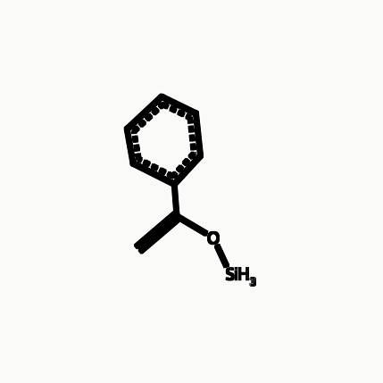 C=C(O[SiH3])c1ccccc1